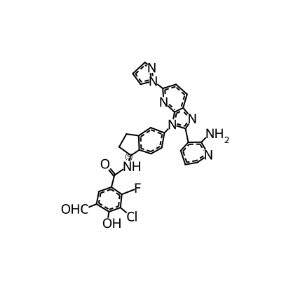 Nc1ncccc1-c1nc2ccc(-n3cccn3)nc2n1-c1ccc2c(c1)CC[C@@H]2NC(=O)c1cc(C=O)c(O)c(Cl)c1F